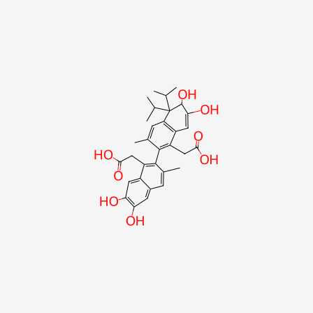 Cc1cc2c(c(CC(=O)O)c1-c1c(C)cc3cc(O)c(O)cc3c1CC(=O)O)C=C(O)C(O)C2(C(C)C)C(C)C